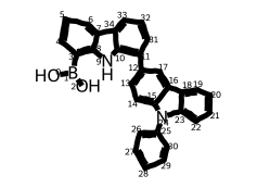 OB(O)c1cccc2c1[nH]c1c(-c3ccc4c(c3)c3ccccc3n4-c3ccccc3)cccc12